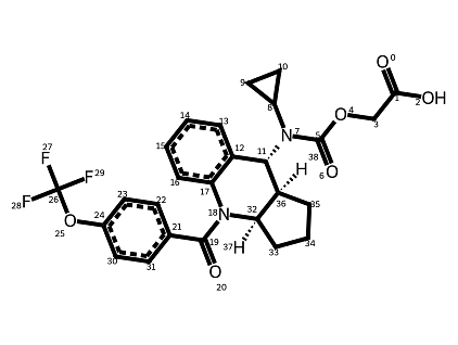 O=C(O)COC(=O)N(C1CC1)[C@H]1c2ccccc2N(C(=O)c2ccc(OC(F)(F)F)cc2)[C@@H]2CCC[C@@H]21